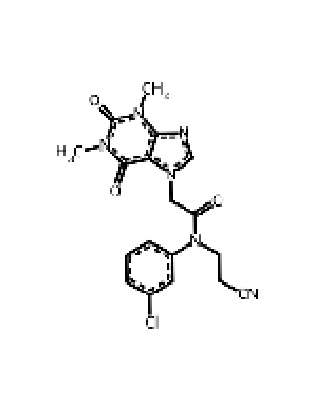 Cn1c(=O)c2c(ncn2CC(=O)N(CCC#N)c2cccc(Cl)c2)n(C)c1=O